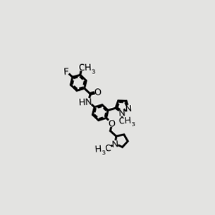 Cc1cc(C(=O)Nc2ccc(OCC3CCCN3C)c(-c3ccnn3C)c2)ccc1F